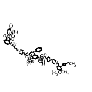 CCC12CC(C3=C(CN4CCN(c5ccc(C(=O)NS(=O)(=O)c6ccc(N[C@H](CCN7CCN(CCCCCNc8cccc9c8C(=O)N(C8CCC(=O)NC8=O)C9=O)CC7)CSc7ccccc7)c(S(=O)(=O)C(F)(F)F)c6)cc5)CC4)CCC(C)(C)C3)(C1)C2